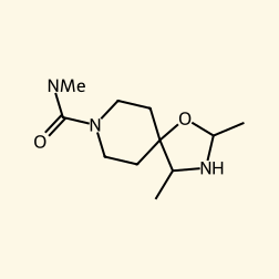 CNC(=O)N1CCC2(CC1)OC(C)NC2C